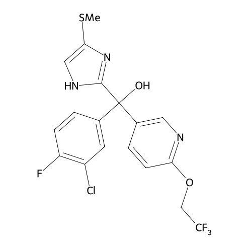 CSc1c[nH]c(C(O)(c2ccc(OCC(F)(F)F)nc2)c2ccc(F)c(Cl)c2)n1